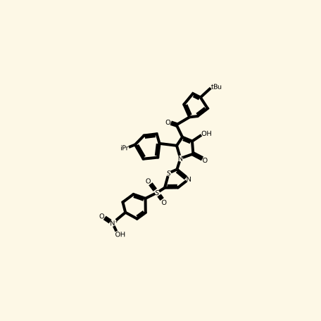 CC(C)c1ccc(C2C(C(=O)c3ccc(C(C)(C)C)cc3)=C(O)C(=O)N2c2ncc(S(=O)(=O)C3=CCC([N+](=O)O)C=C3)s2)cc1